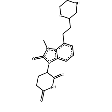 Cn1c(=O)n(C2CCC(=O)NC2=O)c2cccc(CCC3CNCCO3)c21